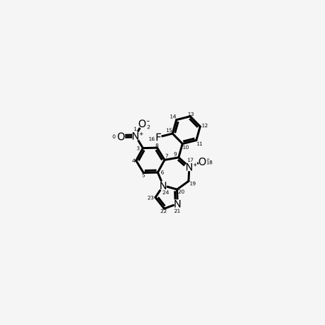 O=[N+]([O-])c1ccc2c(c1)C(c1ccccc1F)=[N+]([O-])Cc1nccn1-2